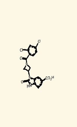 O=C(O)c1ccc2[nH]c(=O)n(C3CN(C(=O)c4ccc(Cl)cc4Cl)C3)c2c1